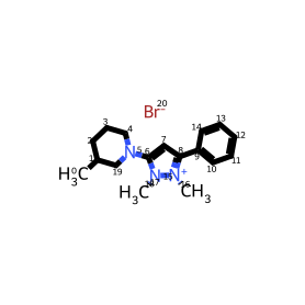 CC1CCCN(c2cc(-c3ccccc3)[n+](C)n2C)C1.[Br-]